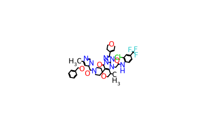 Cc1ncnc(C(=O)N2CCC3(CC2)OCC(C)c2c3c(=O)n3nc(C4=CCOCC4)nc3n2CC(=O)Nc2ccc(C(F)(F)F)cc2Cl)c1OCc1ccccc1